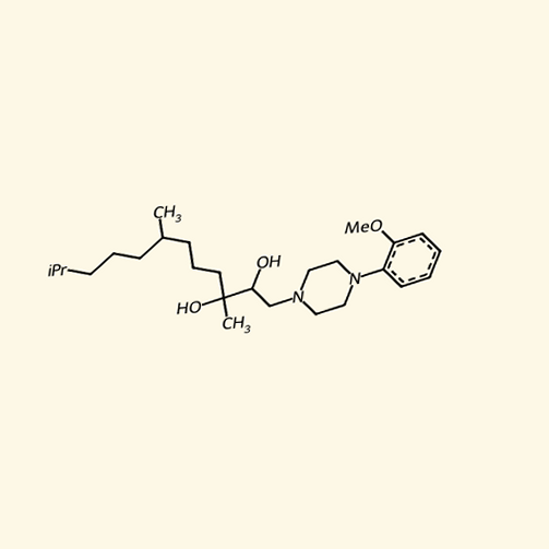 COc1ccccc1N1CCN(CC(O)C(C)(O)CCCC(C)CCCC(C)C)CC1